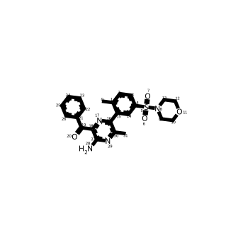 Cc1ccc(S(=O)(=O)N2CCOCC2)cc1-c1nc(C(=O)c2ccccc2)c(N)nc1C